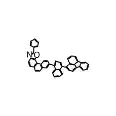 c1ccc(-c2nc3ccc4ccc5cc(-c6ccc(-c7ccc8c9c(cccc79)-c7ccccc7-8)c7ccccc67)ccc5c4c3o2)cc1